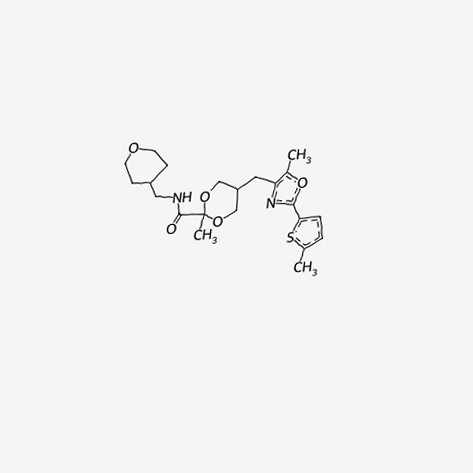 Cc1ccc(-c2nc(CC3COC(C)(C(=O)NCC4CCOCC4)OC3)c(C)o2)s1